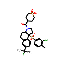 Cc1ccc(S(=O)(=O)C23CCN(C(=O)C4CCS(=O)(=O)CC4)C2CCc2cc(C(F)(C(F)(F)F)C(F)(F)F)ccc23)cc1Cl